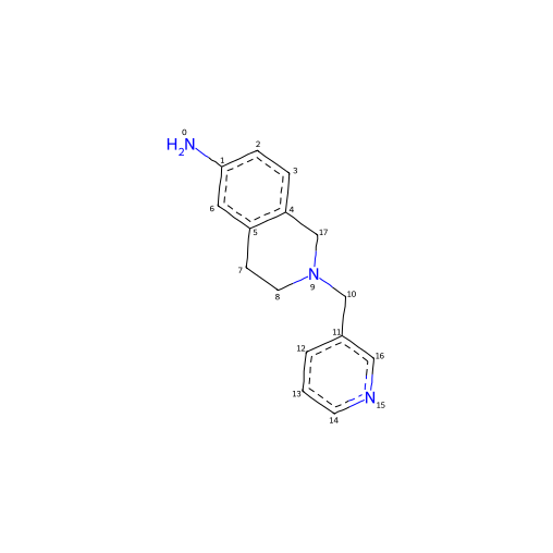 Nc1ccc2c(c1)CCN(Cc1cccnc1)C2